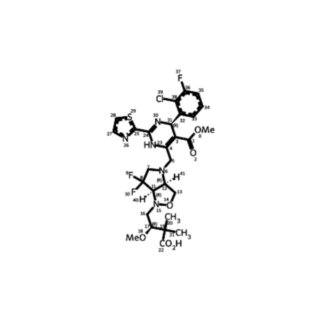 COC(=O)C1=C(CN2CC(F)(F)[C@H]3[C@@H]2CON3C[C@H](OC)C(C)(C)C(=O)O)NC(c2nccs2)=N[C@H]1c1cccc(F)c1Cl